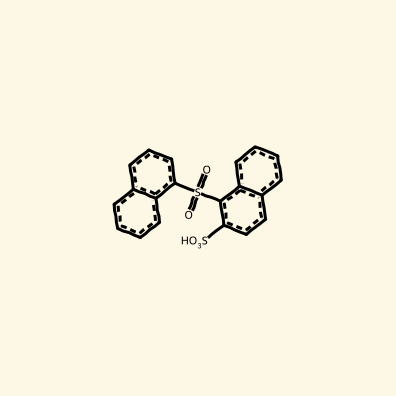 O=S(=O)(O)c1ccc2ccccc2c1S(=O)(=O)c1cccc2ccccc12